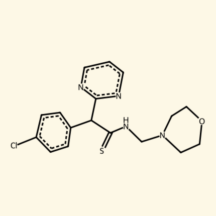 S=C(NCN1CCOCC1)C(c1ccc(Cl)cc1)c1ncccn1